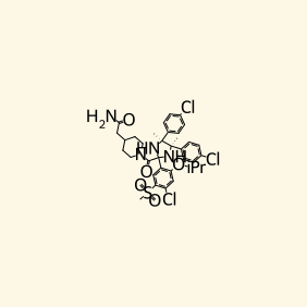 CC(C)Oc1cc(Cl)c(S(C)(=O)=O)cc1C1(C(=O)N2CCC(CC(N)=O)CC2)N[C@@](C)(c2ccc(Cl)cc2)[C@@](C)(c2ccc(Cl)cc2)N1